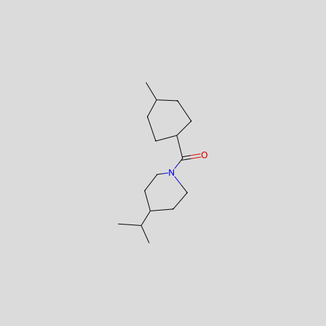 CC1CCC(C(=O)N2CCC(C(C)C)CC2)CC1